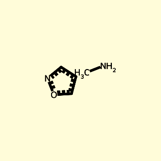 CN.c1cnoc1